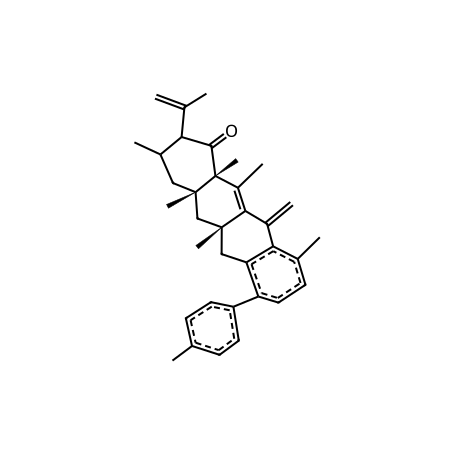 C=C1C2=C(C)[C@@]3(C)C(=O)C(C(=C)C)C(C)C[C@@]3(C)C[C@@]2(C)Cc2c(-c3ccc(C)cc3)ccc(C)c21